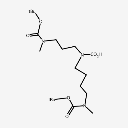 CN(CCCCN(CCCN(C)C(=O)OC(C)(C)C)C(=O)O)C(=O)OC(C)(C)C